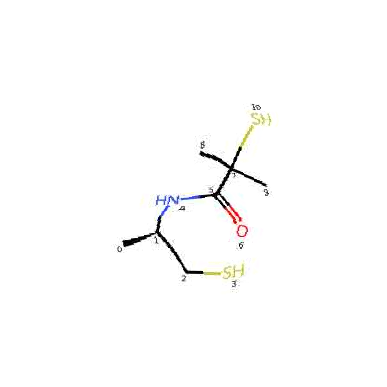 C[C@H](CS)NC(=O)C(C)(C)S